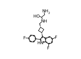 NCC(O)NC[C@H]1C[C@@H](c2c(-c3ccc(F)cc3)[nH]c3c(F)cc(F)cc32)C1